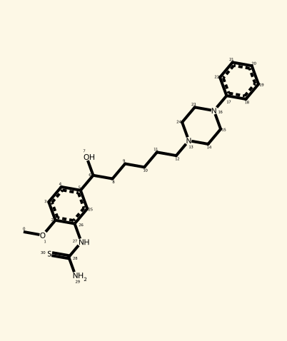 COc1ccc(C(O)CCCCCN2CCN(c3ccccc3)CC2)cc1NC(N)=S